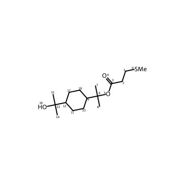 CSCCC(=O)OC(C)(C)C1CCC(C(C)(C)O)CC1